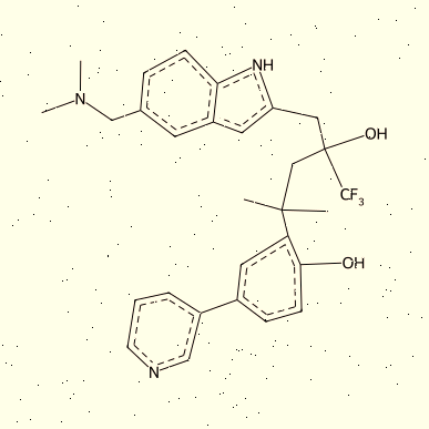 CN(C)Cc1ccc2[nH]c(CC(O)(CC(C)(C)c3cc(-c4cccnc4)ccc3O)C(F)(F)F)cc2c1